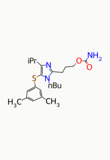 CCCCn1c(CCCOC(N)=O)nc(C(C)C)c1Sc1cc(C)cc(C)c1